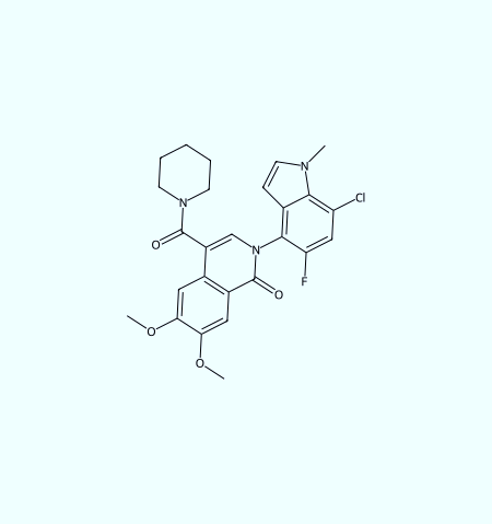 COc1cc2c(C(=O)N3CCCCC3)cn(-c3c(F)cc(Cl)c4c3ccn4C)c(=O)c2cc1OC